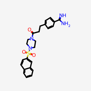 N=C(N)c1ccc(CCC(=O)N2CCN(S(=O)(=O)c3ccc4ccccc4c3)CC2)cc1